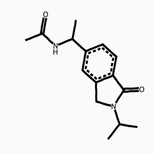 CC(=O)NC(C)c1ccc2c(c1)CN(C(C)C)C2=O